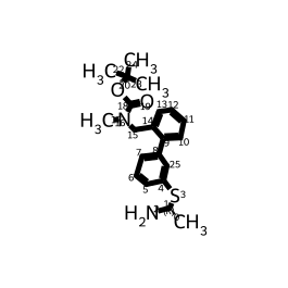 C[C@H](N)Sc1cccc(-c2ccccc2CN(C)C(=O)OC(C)(C)C)c1